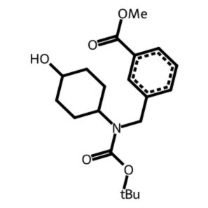 COC(=O)c1cccc(CN(C(=O)OC(C)(C)C)C2CCC(O)CC2)c1